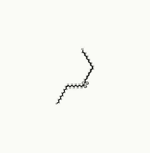 CCCCCCCCCC/C=C\CCCCCCCC(=O)OC(=O)CCCCCCC/C=C\CCCCCCCCCC